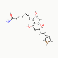 NC(=O)CCC/C=C\CC1C(/C(O)=C\CCCc2ccsc2)[C@H](O)C[C@@H]1O